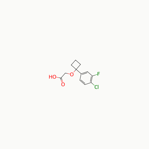 O=C(O)COC1(c2ccc(Cl)c(F)c2)CCC1